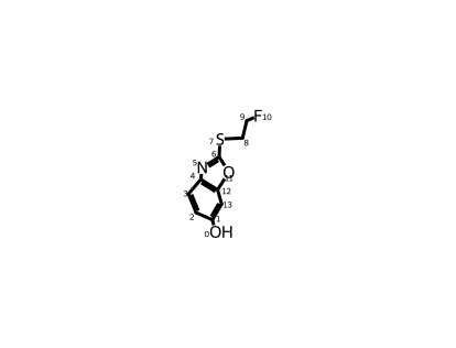 Oc1ccc2nc(SCCF)oc2c1